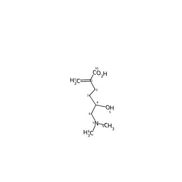 C=C(CCC(O)CN(C)C)C(=O)O